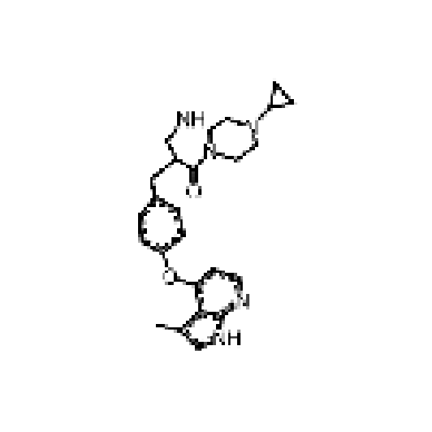 Cc1c[nH]c2nccc(Oc3ccc(CC(CN)C(=O)N4CCN(C5CC5)CC4)cc3)c12